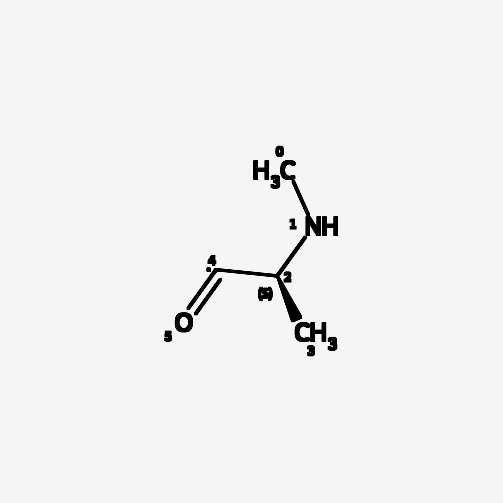 CN[C@@H](C)[C]=O